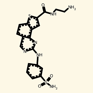 NCCNC(=O)c1cc2c(ccc3cnc(Nc4cccc(S(N)(=O)=O)c4)nc32)s1